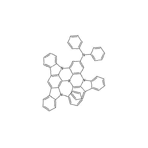 c1ccc(N(c2ccccc2)c2cc3c4c(c2)-n2c5ccccc5c5cc6c7ccccc7n(-c7ccccc7)c6c(c52)B4c2cccc4c5ccccc5n-3c24)cc1